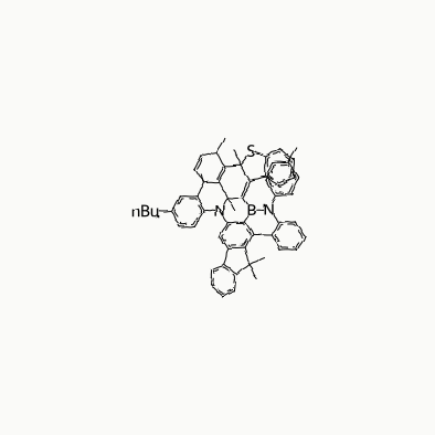 CCCCc1ccc2c(c1)C1(C)C=CC(C)C3=C1C1(C)C(=C4c5ccccc5SC43C)B3c4c(cc5c(c4-c4ccccc4N3c3ccc(C)cc3)C(C)(C)c3ccccc3-5)N21